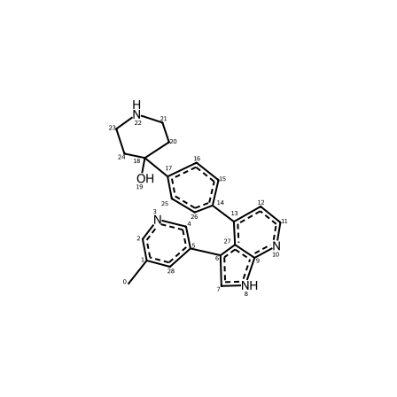 Cc1cncc(-c2c[nH]c3nccc(-c4ccc(C5(O)CCNCC5)cc4)c23)c1